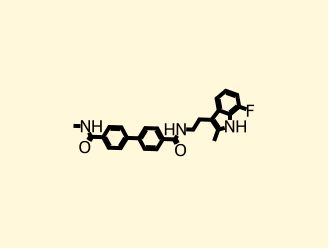 CNC(=O)c1ccc(-c2ccc(C(=O)NCCc3c(C)[nH]c4c(F)cccc34)cc2)cc1